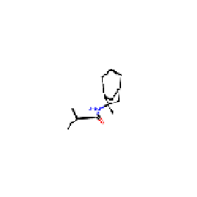 CC(C)C(=O)NC1(C)CC2CCCC1C2